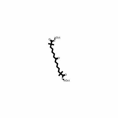 CCCCCCCCSC(=O)C(C)(C)CCCCCC(=O)CCCCCC(C)(C)C(=O)SCCCCCCCC